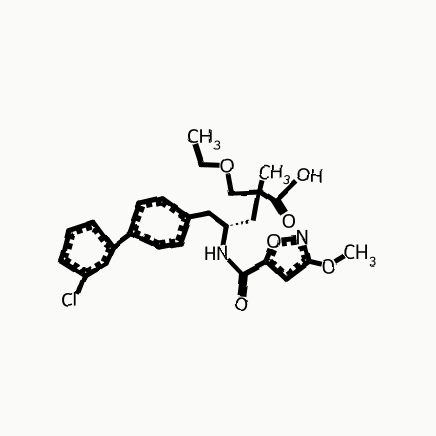 CCOCC(C)(C[C@@H](Cc1ccc(-c2cccc(Cl)c2)cc1)NC(=O)c1cc(OC)no1)C(=O)O